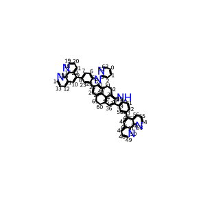 c1ccc(-n2c3ccc(-c4cc5cccnc5c5ncccc45)cc3c3cc4c5c(c32)CCc2c-5c(cc3c2[nH]c2ccc(-c5cc6cccnc6c6ncccc56)cc23)CC4)nc1